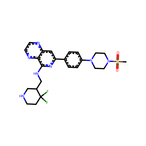 CS(=O)(=O)N1CCN(c2ccc(-c3cc4nccnc4c(NCC4CNCCC4(F)F)n3)cc2)CC1